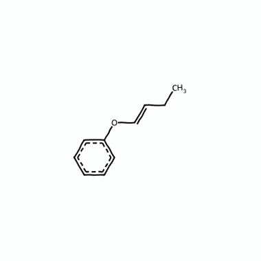 CC/C=C/Oc1ccccc1